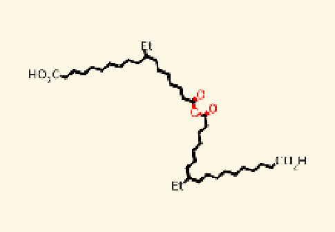 CCC(CCCCCCCCCC(=O)O)CCCCCCC(=O)OC(=O)CCCCCCC(CC)CCCCCCCCCC(=O)O